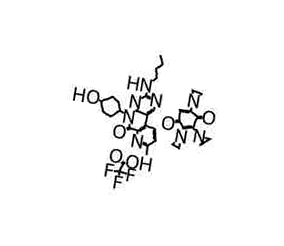 CCCCNc1ncc2c3ccc(C)nc3c(=O)n(C3CCC(O)CC3)c2n1.O=C(O)C(F)(F)F.O=C1C=C(N2CC2)C(=O)C(N2CC2)=C1N1CC1